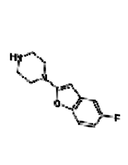 Fc1ccc2oc(N3CCNCC3)cc2c1